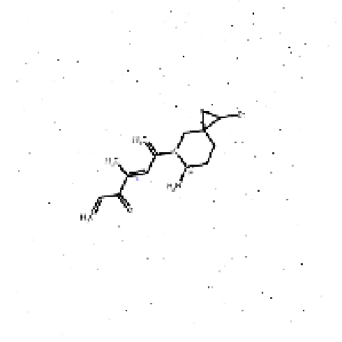 C=CC(=O)/C(C)=C/C(=C)N1CC2(CC[C@H]1N)CC2CC